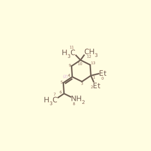 CCC1(CC)C/C(=C\C(C)N)CC(C)(C)C1